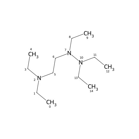 CCN(CC)CCN(CC)N(CC)CC